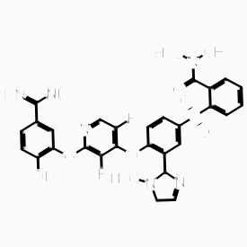 CN(C)C(=O)c1ccccc1S(=O)(=O)c1ccc(Oc2c(F)cnc(Oc3cc(C(=N)N)ccc3O)c2F)c(C2N=CCN2C)c1